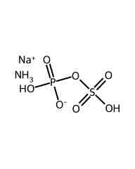 N.O=P([O-])(O)OS(=O)(=O)O.[Na+]